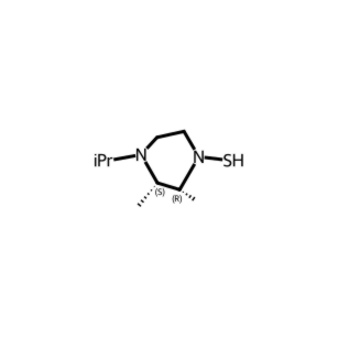 CC(C)N1CCN(S)[C@H](C)[C@@H]1C